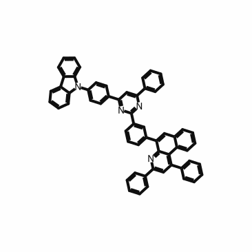 c1ccc(-c2cc(-c3ccc(-n4c5ccccc5c5ccccc54)cc3)nc(-c3cccc(-c4cc5ccccc5c5c(-c6ccccc6)cc(-c6ccccc6)nc45)c3)n2)cc1